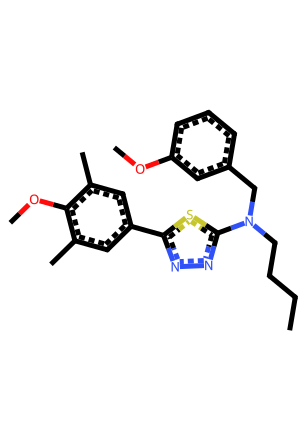 CCCCN(Cc1cccc(OC)c1)c1nnc(-c2cc(C)c(OC)c(C)c2)s1